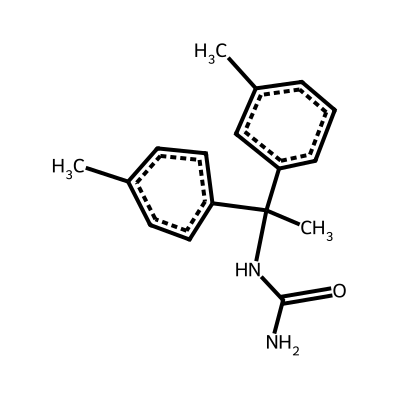 Cc1ccc(C(C)(NC(N)=O)c2cccc(C)c2)cc1